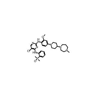 COc1cc(N2CCC(N3CCCN(C)CC3)CC2)ccc1Nc1ncc(Cl)c(Nc2ccccc2P(C)(C)=O)n1